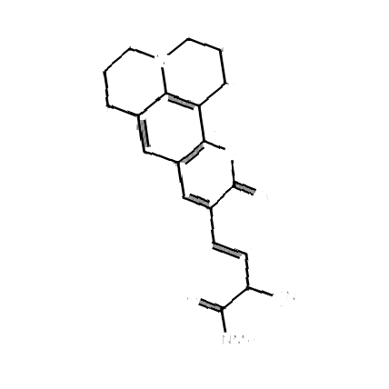 CNC(=O)C(C#N)/C=C/c1cc2cc3c4c(c2oc1=O)CCCN4CCC3